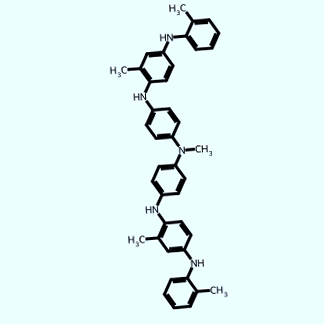 Cc1ccccc1Nc1ccc(Nc2ccc(N(C)c3ccc(Nc4ccc(Nc5ccccc5C)cc4C)cc3)cc2)c(C)c1